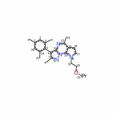 Cc1cc(C)c(-c2c(C)nn3c2nc(C)c2ccn(CCOC(C)C)c23)c(C)c1